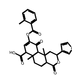 Cc1ccccc1C(=O)OC1=CC(C(=O)O)C2(C)CCC3C(=O)OC(c4ccoc4)CC3(C)C2C1=O